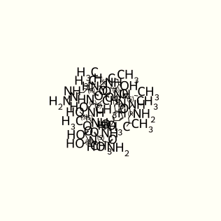 CC[C@H](C)[C@H](NC(=O)[C@@H](CCCNC(=N)N)NC(=O)[C@H](CC(C)C)NC(=O)[C@@H](NC(=O)[C@H](Cc1cccc(O)c1)NC(=O)[C@H](CC(C)C)NC(=O)[C@H](N)CC(C)C)C(O)C(C)C)C(=O)N[C@H](C(=O)NCC(=O)N[C@H](C(=O)N(C)[C@@H](CO)C(=O)O)C(O)C(N)=O)[C@H](C)O